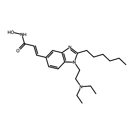 CCCCCCc1nc2cc(C=CC(=O)NO)ccc2n1CCN(CC)CC